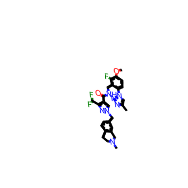 COc1ccc(-n2cc(C)nn2)c(CNC(=O)c2cn(Cc3ccc4c(c3)CN(C)CC4)nc2C(F)F)c1F